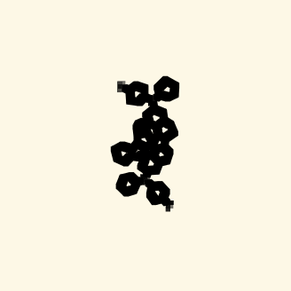 Fc1ccc(N(c2ccccc2)c2ccc3c4c(ccc3c2)-c2ccc3cc(N(c5ccccc5)c5ccc(F)cc5)ccc3c2C42c3ccccc3-c3c2ccc2ccccc32)cc1